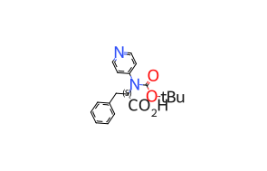 CC(C)(C)OC(=O)N(c1ccncc1)[C@@H](Cc1ccccc1)C(=O)O